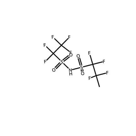 CC(F)(F)C(F)(F)S(=O)(=O)NS(=O)(=O)C(F)(F)C(F)(F)F